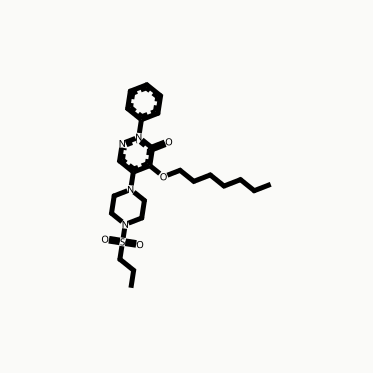 CCCCCCCOc1c(N2CCN(S(=O)(=O)CCC)CC2)cnn(-c2ccccc2)c1=O